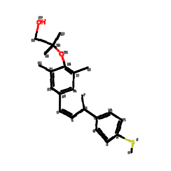 CSc1ccc(C(C)/C=C\c2cc(C)c(OC(C)(C)CO)c(C)c2)cc1